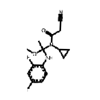 COC(C)(Nc1ccc(I)cc1F)N(C(=O)CC#N)C1CC1